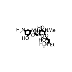 CC[C@@H](N)/C=C(\O)OC1O[C@@H](/C=C(\O)O[C@@H]2C(N)C[C@@H](N)CC2O)CC(O)C1NC